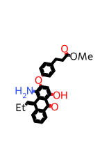 CC/C=C1\c2ccccc2C(=O)c2c(O)cc(Oc3ccc(CCC(=O)OC)cc3)c(N)c21